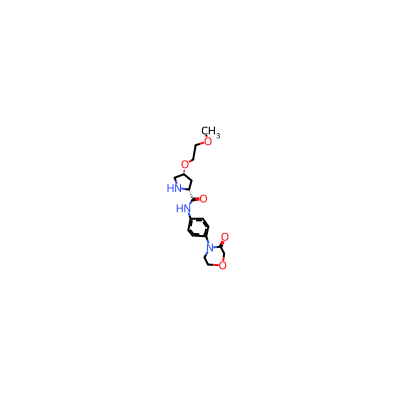 COCCO[C@H]1CN[C@@H](C(=O)Nc2ccc(N3CCOCC3=O)cc2)C1